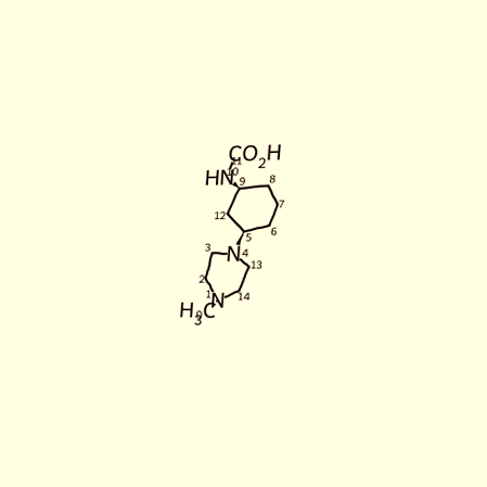 CN1CCN([C@@H]2CCC[C@H](NC(=O)O)C2)CC1